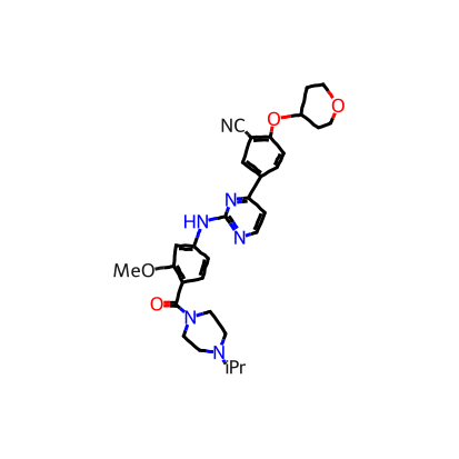 COc1cc(Nc2nccc(-c3ccc(OC4CCOCC4)c(C#N)c3)n2)ccc1C(=O)N1CCN(C(C)C)CC1